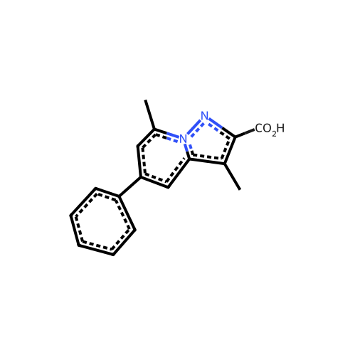 Cc1c(C(=O)O)nn2c(C)cc(-c3ccccc3)cc12